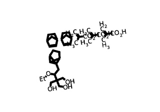 C1=CC2CCC1C2.C1=CC2CCC1C2.C=C(C)C(=O)O.C=C(C)C(=O)O.C=C(C)C(=O)O.CCOC(CC1=CC2CCC1C2)C(CO)(CO)CO